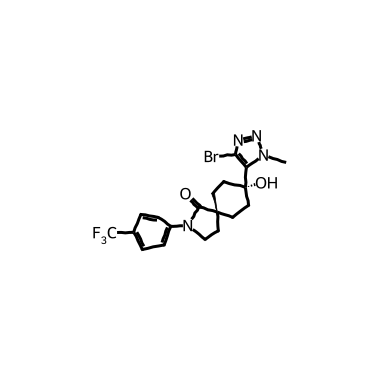 Cn1nnc(Br)c1[C@]1(O)CC[C@]2(CCN(c3ccc(C(F)(F)F)cc3)C2=O)CC1